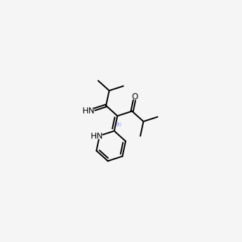 CC(C)C(=N)/C(C(=O)C(C)C)=C1/C=CC=CN1